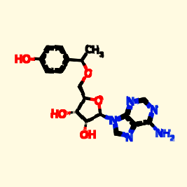 CC(OC[C@H]1O[C@@H](n2cnc3c(N)ncnc32)[C@H](O)[C@@H]1O)c1ccc(O)cc1